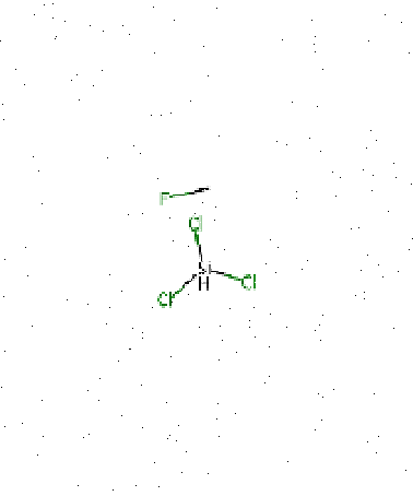 CF.Cl[SiH](Cl)Cl